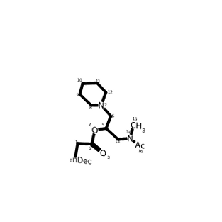 CCCCCCCCCCCC(=O)OC(CN1CCCCC1)CN(C)C(C)=O